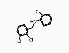 Clc1ccccc1NCc1cccc(Cl)c1Cl